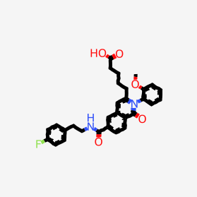 COc1ccccc1-n1c(CCCCC(=O)O)cc2cc(C(=O)NCCc3ccc(F)cc3)ccc2c1=O